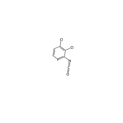 O=C=Nc1pccc(Cl)c1Cl